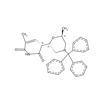 [CH2][C@H]1CN(C(c2ccccc2)(c2ccccc2)c2ccccc2)C[C@H]([C@H]2C=C(C)C(=O)NC2=O)O1